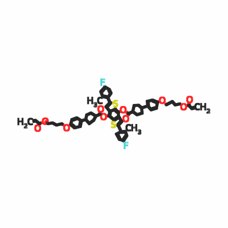 C=CC(=O)OCCCCOc1ccc(C2CCC(C(=O)Oc3c4cc(-c5ccc(F)cc5C)sc4c(OC(=O)C4CCC(c5ccc(OCCCCOC(=O)C=C)cc5)CC4)c4cc(-c5ccc(F)cc5C)sc34)CC2)cc1